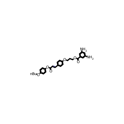 CCCCOc1ccc(OC(=O)/C=C/c2ccc(OCCCOC(=O)c3cc(N)cc(N)c3)cc2)cc1